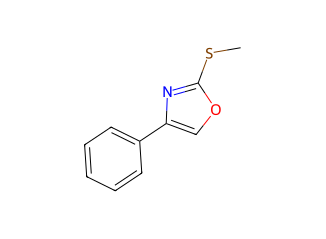 CSc1nc(-c2ccccc2)co1